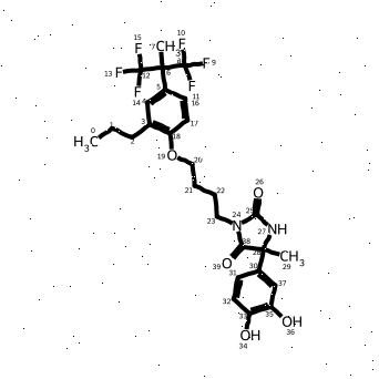 CCCc1cc(C(C)(C(F)(F)F)C(F)(F)F)ccc1OCCCCN1C(=O)NC(C)(c2ccc(O)c(O)c2)C1=O